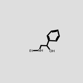 CCNCC(O)c1ccccc1